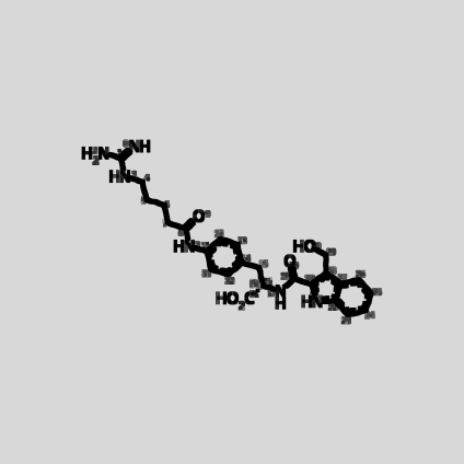 N=C(N)NCCCCC(=O)Nc1ccc(C[C@H](NC(=O)c2[nH]c3ccccc3c2CO)C(=O)O)cc1